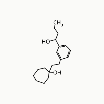 CCCC(O)c1cccc(CCC2(O)CCCCCC2)c1